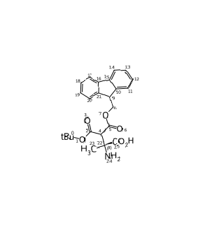 CC(C)(C)OC(=O)C(C(=O)OCC1c2ccccc2-c2ccccc21)[C@@](C)(N)C(=O)O